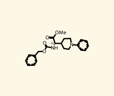 COC(=O)[C@@H](NC(=O)OCc1ccccc1)C1CCN(c2ccccc2)CC1